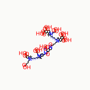 CC1(C)C(/C=C/C=C/C=C2/N(CCCCCC(=O)O)c3ccc(S(=O)(=O)O)cc3C2(C)C)=[N+](CCCS(=O)(=O)O)c2ccc(CNC(=O)c3cc4c(c(S(=O)(=O)O)c3)CN(C(=O)CCCCCN3/C(=C/C=C/C=C/C5=[N+](CCCS(=O)(=O)O)c6ccc7c(S(=O)(=O)O)cc(S(=O)(=O)O)cc7c6C5(C)C)C(C)(C)c5c3ccc3c(S(=O)(=O)O)cc(S(=O)(=O)O)cc53)CC4)cc21